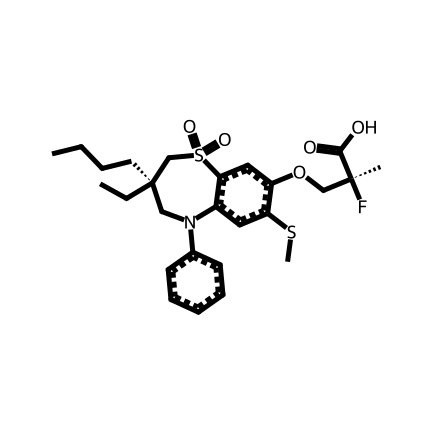 CCCC[C@@]1(CC)CN(c2ccccc2)c2cc(SC)c(OC[C@](C)(F)C(=O)O)cc2S(=O)(=O)C1